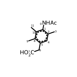 CC(=O)Nc1c(C)cc(CC(=O)O)c(C)c1C